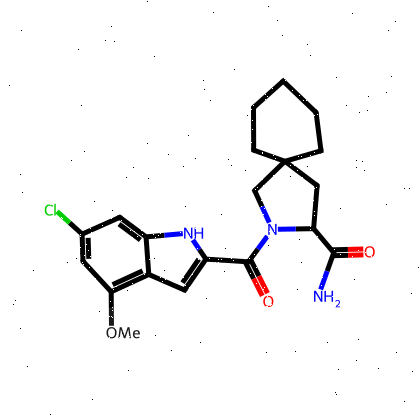 COc1cc(Cl)cc2[nH]c(C(=O)N3CC4(CCCCC4)CC3C(N)=O)cc12